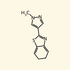 Cn1cc(-c2nc3c(s2)=CCCC=3)cn1